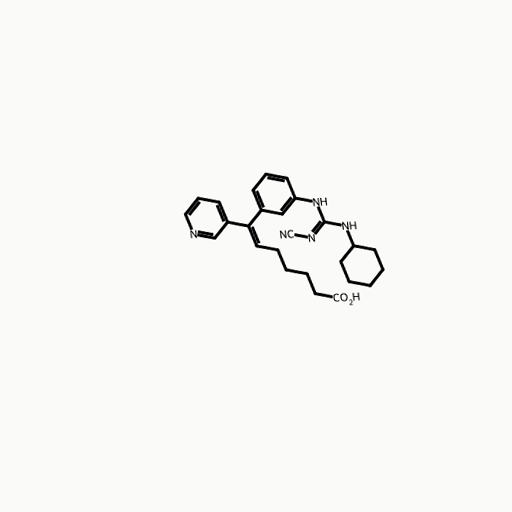 N#C/N=C(\Nc1cccc(/C(=C\CCCCC(=O)O)c2cccnc2)c1)NC1CCCCC1